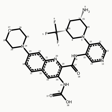 N[C@H]1C[C@@H](C(F)(F)F)CN(c2ccncc2NC(=O)c2nc3cc(N4CCOCC4)ccc3cc2NC(=O)O)C1